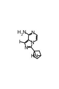 Nc1nccn2c(C34CCC(C3)N4)nc(I)c12